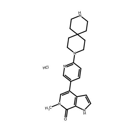 Cl.Cn1cc(-c2ccc(N3CCC4(CCNCC4)CC3)nc2)c2cc[nH]c2c1=O